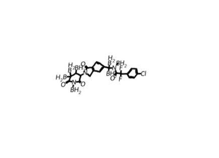 BC1C(N2Cc3cc(C(B)(B)N(B)C(=O)C(F)(F)c4ccc(Cl)cc4)ccc3C2=O)C(=O)N(B)C(=O)C1(B)B